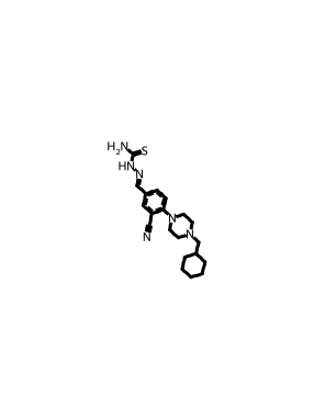 N#Cc1cc(/C=N/NC(N)=S)ccc1N1CCN(CC2CCCCC2)CC1